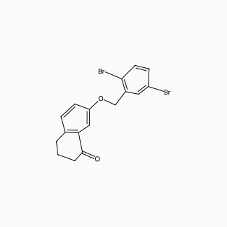 O=C1CCCc2ccc(OCc3cc(Br)ccc3Br)cc21